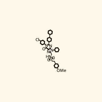 COc1ccc(CCS(=O)(=O)NCc2nc3c(=O)n(-c4ccc(Cl)cc4)c(-c4ccc(-c5ccccc5)cc4)nc3n2-c2ccccc2)cc1